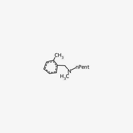 CCCCCN(C)Cc1ccccc1C